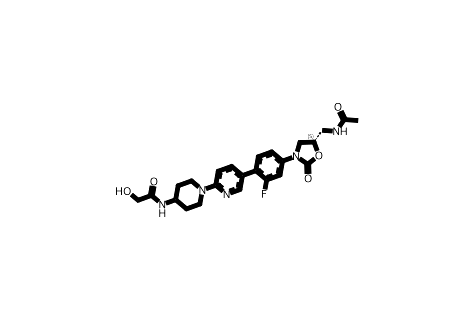 CC(=O)NC[C@H]1CN(c2ccc(-c3ccc(N4CCC(NC(=O)CO)CC4)nc3)c(F)c2)C(=O)O1